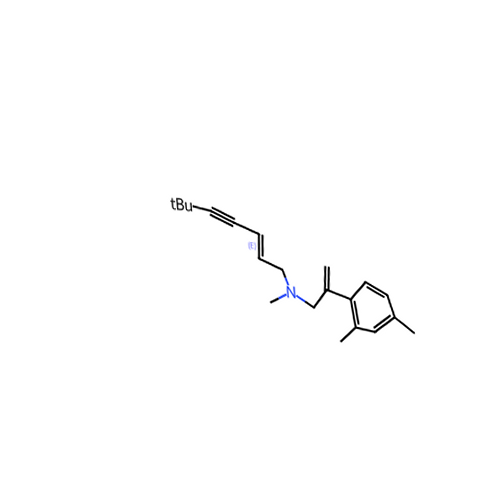 C=C(CN(C)C/C=C/C#CC(C)(C)C)c1ccc(C)cc1C